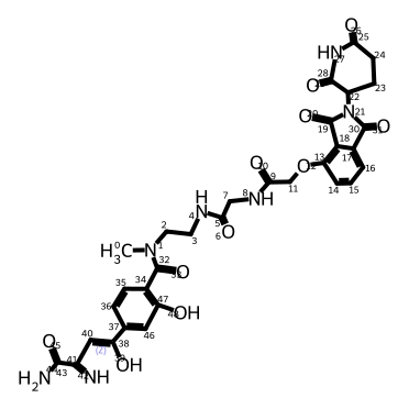 CN(CCNC(=O)CNC(=O)COc1cccc2c1C(=O)N(C1CCC(=O)NC1=O)C2=O)C(=O)c1ccc(/C(O)=C/C(=N)C(N)=O)cc1O